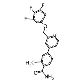 Cc1cc(-c2ccnc(COc3cc(F)c(F)c(F)c3)c2)ccc1C(N)=O